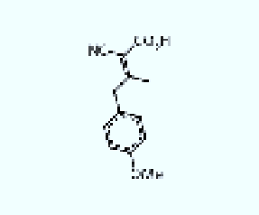 COc1ccc(C/C(C)=C(\C#N)C(=O)O)cc1